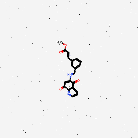 COC(=O)/C=C/c1cccc(CNC2=CC(=O)c3ncccc3C2=O)c1